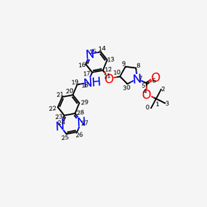 CC(C)(C)OC(=O)N1CCC(Oc2ccncc2NCc2ccc3nccnc3c2)C1